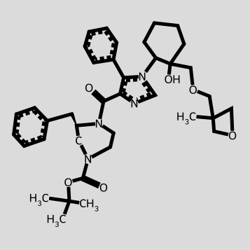 CC1(COCC2(O)CCCCC2n2cnc(C(=O)N3CCN(C(=O)OC(C)(C)C)C[C@H]3Cc3ccccc3)c2-c2ccccc2)COC1